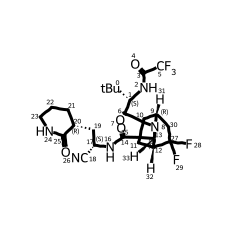 CC(C)(C)[C@H](NC(=O)C(F)(F)F)C(=O)N1[C@@H]2CC[C@H]([C@@H]1C(=O)N[C@H](C#N)C[C@H]1CCCNC1=O)C(F)(F)C2